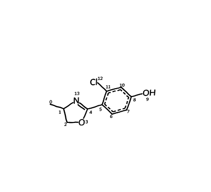 CC1COC(c2ccc(O)cc2Cl)=N1